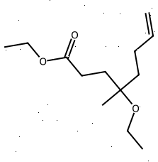 C=CCCC(C)(CCC(=O)OCC)OCC